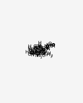 CC(C)(C)[Si](C)(C)O[C@@H]1C(COP(=O)(OCCC#N)O[C@@H]2C(CO[PH](=O)O)OC(n3cnc4c(NC(=O)c5ccccc5)ncnc43)[C@@H]2O[Si](C)(C)C(C)(C)C)OC(n2cnc3c(=O)[nH]cnc32)[C@@H]1O